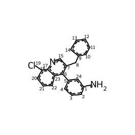 Nc1cccc(-c2c(Cc3ccccc3)cnc3c(Cl)cccc23)c1